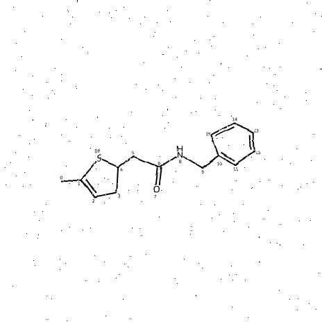 CC1=CCC(CC(=O)NCc2ccccc2)S1